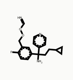 N=COOCc1cc(C(N)(CCC2CC2)c2ccncc2)ccc1F